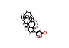 C[C@]12CCCC[C@H]1CC[C@H]1C3CC[C@H](C4=CC(=O)OC4)[C@@]3(C)CC[C@@H]12